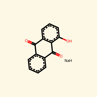 O=C1c2ccccc2C(=O)c2c(O)cccc21.[NaH]